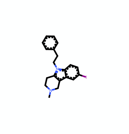 CN1CCc2c(c3cc(I)ccc3n2CCc2ccccc2)C1